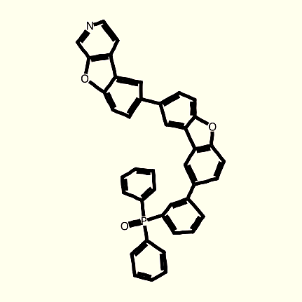 O=P(c1ccccc1)(c1ccccc1)c1cccc(-c2ccc3oc4ccc(-c5ccc6oc7cnccc7c6c5)cc4c3c2)c1